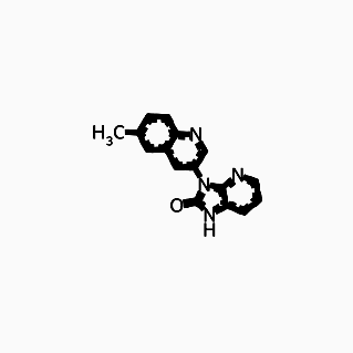 Cc1ccc2ncc(-n3c(=O)[nH]c4cccnc43)cc2c1